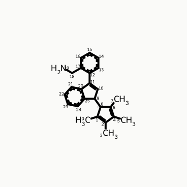 CC1=C(C)C(C)=C(C)[C]1C1C=C(c2ccccc2CN)c2ccccc21